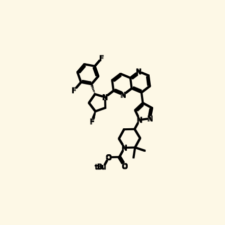 CC(C)(C)OC(=O)N1CCC(n2cc(-c3ccnc4ccc(N5C[C@@H](F)C[C@@H]5c5cc(F)ccc5F)nc34)cn2)CC1(C)C